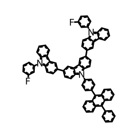 Fc1cccc(-n2c3ccccc3c3cc(-c4ccc5c(c4)c4cc(-c6ccc7c(c6)c6ccccc6n7-c6cccc(F)c6)ccc4n5-c4ccc(-c5c6ccccc6c(-c6ccccc6)c6ccccc56)cc4)ccc32)c1